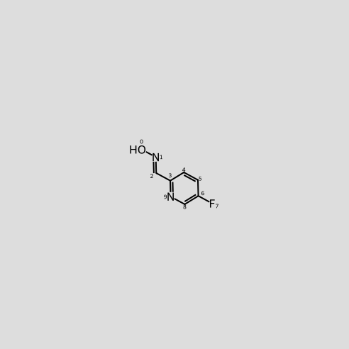 O/N=C/c1ccc(F)cn1